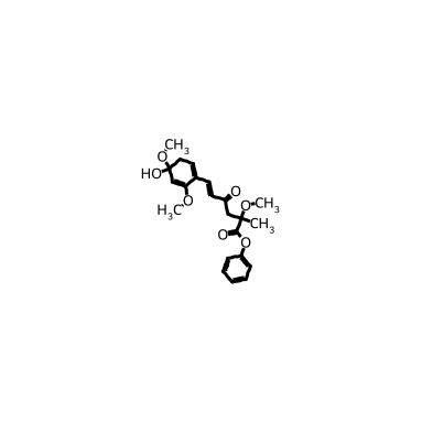 COC1=CC(O)(OC)CC=C1C=CC(=O)CC(C)(OC)C(=O)Oc1ccccc1